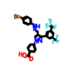 O=C(O)c1ccc(-n2cc(/C=N/Nc3ccc(Br)cc3)c(-c3cc(C(F)(F)F)cc(C(F)(F)F)c3)n2)cc1